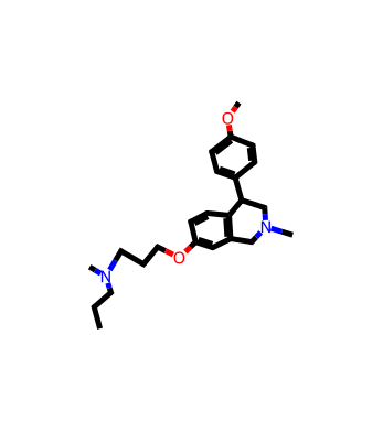 CCCN(C)CCCOc1ccc2c(c1)CN(C)CC2c1ccc(OC)cc1